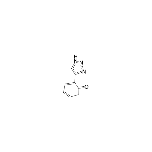 O=C1CC=CC=C1c1c[nH]nn1